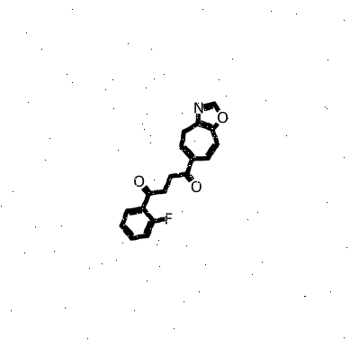 O=C(CCC(=O)c1ccccc1F)C1=CCc2ncoc2C=C1